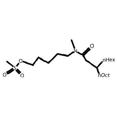 CCCCCCCCC(CCCCCC)CC(=O)N(C)CCCCCOS(C)(=O)=O